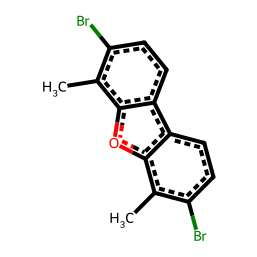 Cc1c(Br)ccc2c1oc1c(C)c(Br)ccc12